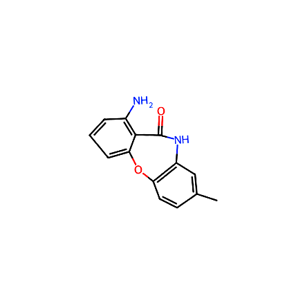 Cc1ccc2c(c1)NC(=O)c1c(N)cccc1O2